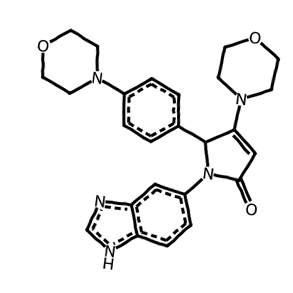 O=C1C=C(N2CCOCC2)C(c2ccc(N3CCOCC3)cc2)N1c1ccc2[nH]cnc2c1